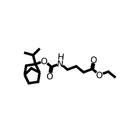 CCOC(=O)CCCNC(=O)OC1(C(C)C)CC2CCC1C2